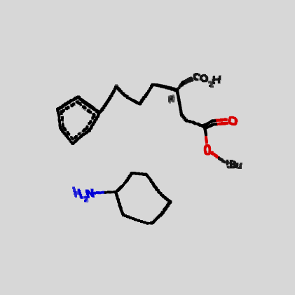 CC(C)(C)OC(=O)C[C@@H](CCCc1ccccc1)C(=O)O.NC1CCCCC1